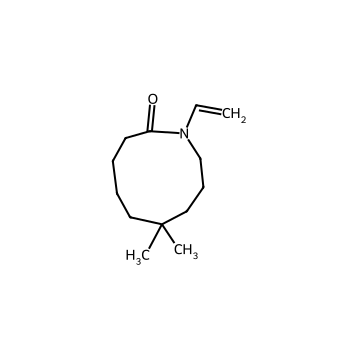 C=CN1CCCC(C)(C)CCCCC1=O